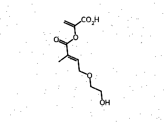 C=C(OC(=O)C(C)=CCOCCO)C(=O)O